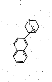 c1ccc2ncc(C3=C4CCN(CC4)C3)cc2c1